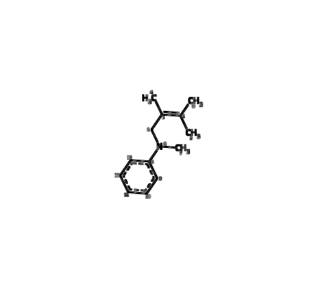 CC(C)=C(C)CN(C)c1ccccc1